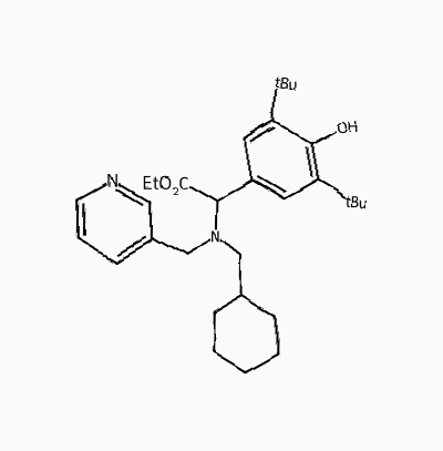 CCOC(=O)C(c1cc(C(C)(C)C)c(O)c(C(C)(C)C)c1)N(Cc1cccnc1)CC1CCCCC1